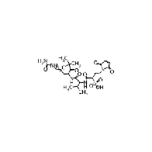 CC(C)[C@H](NC(=O)[C@@H](CCN1C(=O)C=CC1=O)S(=O)(=O)O)C(=O)N[C@@H](CCCNC(N)=O)C(=O)C(C)(C)C